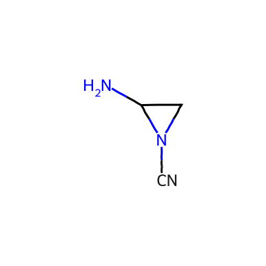 N#CN1CC1N